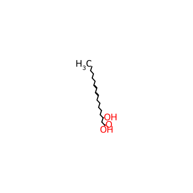 CCCCCCC=CC=CCCCCCC(O)CC(=O)O